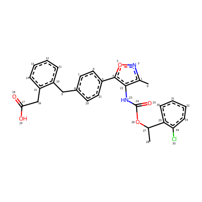 Cc1noc(-c2ccc(Cc3ccccc3CC(=O)O)cc2)c1NC(=O)OC(C)c1ccccc1Cl